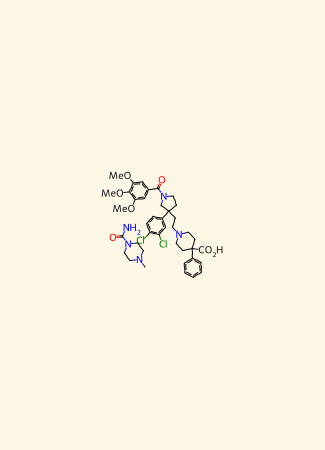 CN1CCN(C(N)=O)CC1.COc1cc(C(=O)N2CCC(CCN3CCC(C(=O)O)(c4ccccc4)CC3)(c3ccc(Cl)c(Cl)c3)C2)cc(OC)c1OC